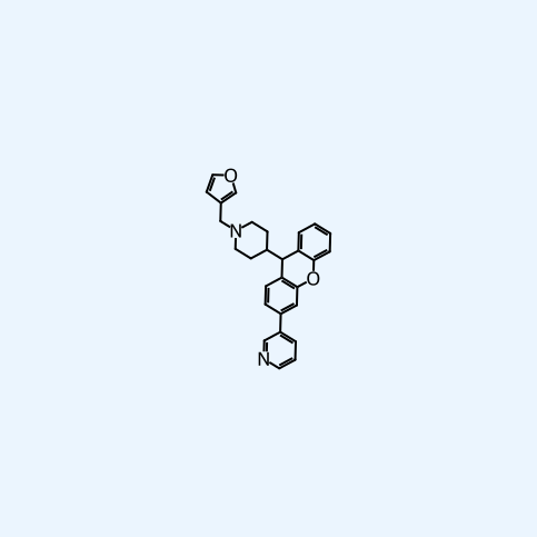 c1cncc(-c2ccc3c(c2)Oc2ccccc2C3C2CCN(Cc3ccoc3)CC2)c1